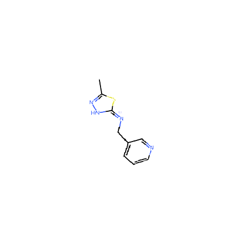 Cc1n[nH]/c(=N\Cc2cccnc2)s1